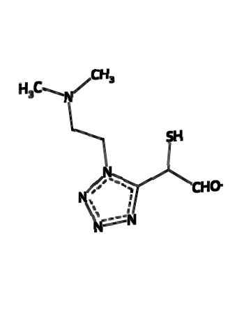 CN(C)CCn1nnnc1C(S)[C]=O